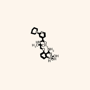 CC(C)(COc1cccc2c1C(N)=NS(O)(O)N2)NC(=O)c1ccnc(N2CCCCC2)c1